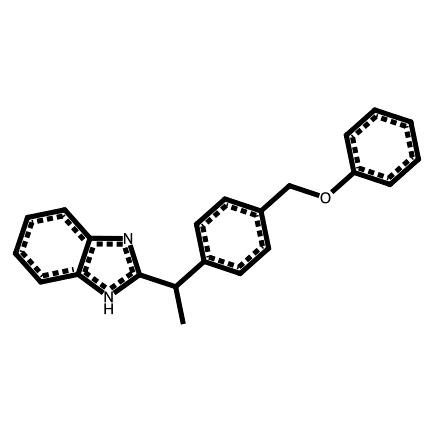 CC(c1ccc(COc2ccccc2)cc1)c1nc2ccccc2[nH]1